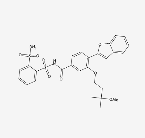 COC(C)(C)CCOc1cc(C(=O)NS(=O)(=O)c2ccccc2S(N)(=O)=O)ccc1-c1cc2ccccc2o1